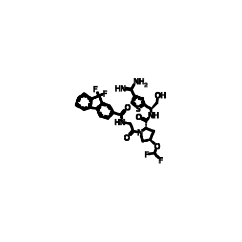 N=C(N)c1csc([C@@H](CO)NC(=O)[C@@H]2C[C@@H](OC(F)F)CN2C(=O)CNC(=O)c2ccc3c(c2)C(F)(F)c2ccccc2-3)c1